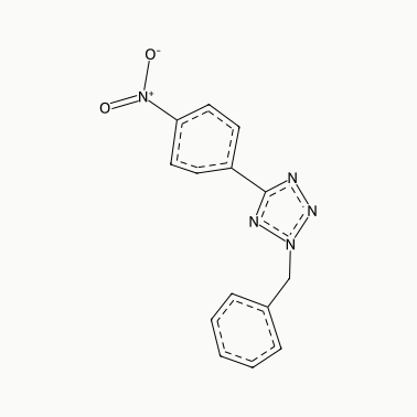 O=[N+]([O-])c1ccc(-c2nnn(Cc3ccccc3)n2)cc1